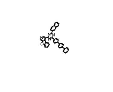 c1ccc(-c2ccc(-c3ccc(-c4nc(-c5ccc6ccccc6c5)nc(-c5cncc6oc7ccccc7c56)n4)cc3)cc2)cc1